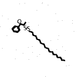 CCCCCCCCCCCCCCCCCCSSC(C)C(=O)c1ccccc1